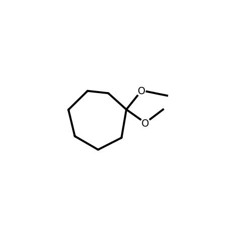 COC1(OC)CCCCCC1